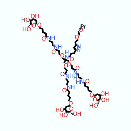 CC(C)OCCOCCC1C=C(CCC(=O)NC(COCCC(=O)NCCCNC(=O)CCCCO[C@H]2C[C@@H](O)[C@@H](O)[C@@H](CO)O2)(COCCC(=O)NCCCNC(=O)CCCCO[C@H]2C[C@@H](O)[C@@H](O)[C@@H](CO)O2)COCCC(=O)NCCCNC(=O)CCCCO[C@H]2C[C@@H](O)[C@@H](O)[C@@H](CO)O2)N=N1